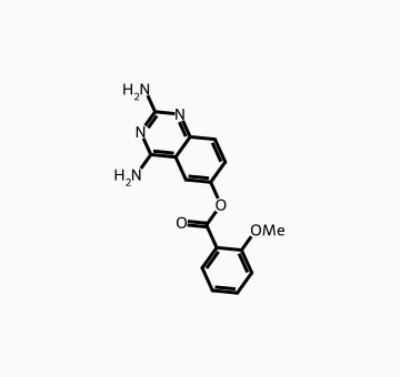 COc1ccccc1C(=O)Oc1ccc2nc(N)nc(N)c2c1